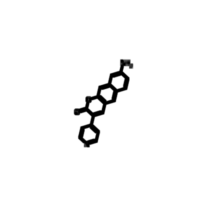 Nc1ccc2cc3cc(-c4ccncc4)c(=O)oc3cc2c1